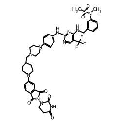 CN(c1cccc(CNc2nc(Nc3ccc(N4CCN(CC5CCN(c6ccc7c(c6)C(=O)N(N6CCC(=O)NC6=O)C7=O)CC5)CC4)cc3)ncc2C(F)(F)F)c1)S(C)(=O)=O